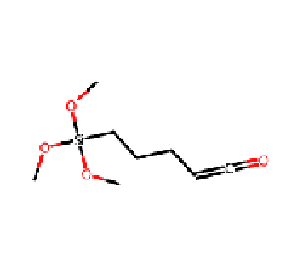 CO[Si](CCCC=C=O)(OC)OC